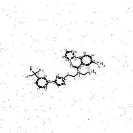 CCN(CCn1ccc(-c2cc(C(F)(F)F)ccn2)n1)C(=O)c1cc(C)ccc1-n1nccn1